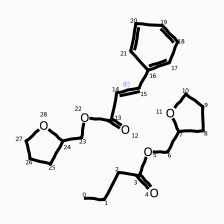 CCCC(=O)OCC1CCCO1.O=C(/C=C/c1ccccc1)OCC1CCCO1